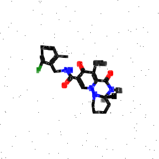 CCN1C(=O)c2c(OC)c(=O)c(C(=O)NCc3c(C)cccc3F)cn2N2CCCC[C@@H]12